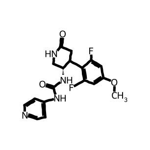 COc1cc(F)c(C2CC(=O)NC[C@H]2NC(=O)Nc2ccncc2)c(F)c1